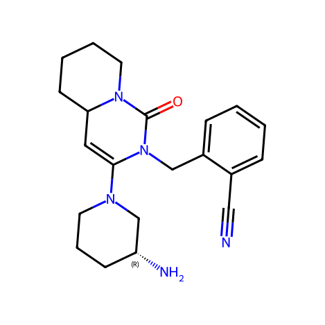 N#Cc1ccccc1CN1C(=O)N2CCCCC2C=C1N1CCC[C@@H](N)C1